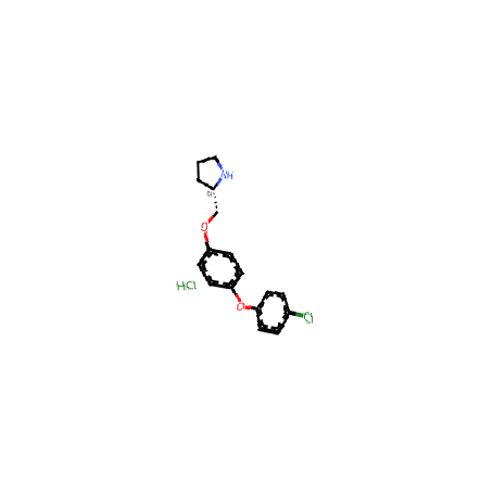 Cl.Clc1ccc(Oc2ccc(OC[C@@H]3CCCN3)cc2)cc1